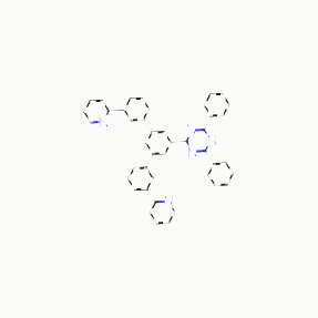 c1ccc(-c2nc(-c3ccccc3)nc(-c3cc(-c4cccc(-c5ccccn5)c4)cc(-c4cccc(-c5ccccn5)c4)c3)n2)cc1